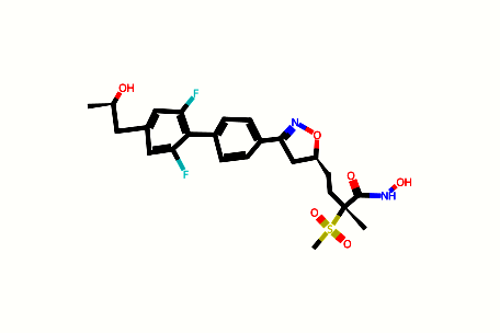 C[C@@H](O)Cc1cc(F)c(-c2ccc(C3=NO[C@@H](CC[C@](C)(C(=O)NO)S(C)(=O)=O)C3)cc2)c(F)c1